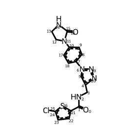 O=C(NCc1cn(-c2ccc(N3CCNC3=O)cc2)nn1)c1ccc(Cl)s1